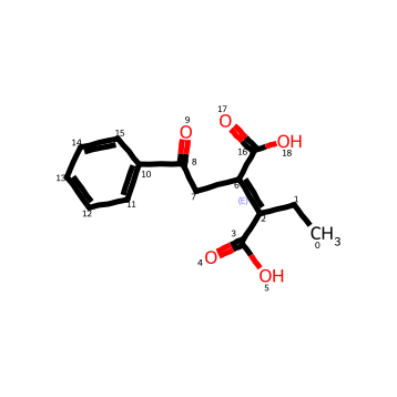 CC/C(C(=O)O)=C(/CC(=O)c1ccccc1)C(=O)O